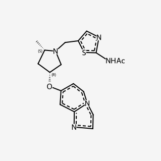 CC(=O)Nc1ncc(CN2C[C@H](Oc3ccn4ccnc4c3)C[C@@H]2C)s1